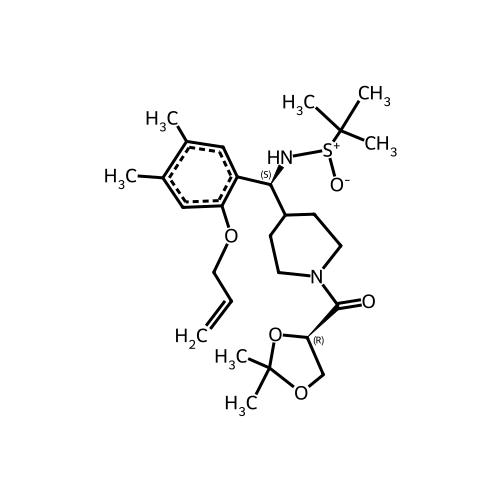 C=CCOc1cc(C)c(C)cc1[C@@H](N[S+]([O-])C(C)(C)C)C1CCN(C(=O)[C@H]2COC(C)(C)O2)CC1